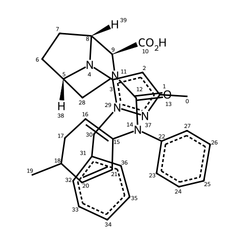 Cc1cc(N2[C@H]3CC[C@@H]2[C@@H](C(=O)O)N(C(=O)N(C2=CCC(C)C=C2)c2ccccc2)C3)n(Cc2ccccc2)n1